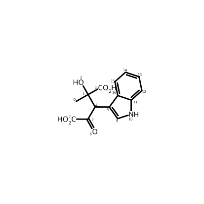 CC(O)(C(=O)O)C(C(=O)C(=O)O)c1c[nH]c2ccccc12